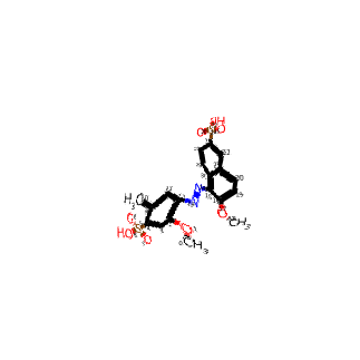 COc1cc(S(=O)(=O)O)c(C)cc1/N=N/c1c(OC)ccc2cc(S(=O)(=O)O)ccc12